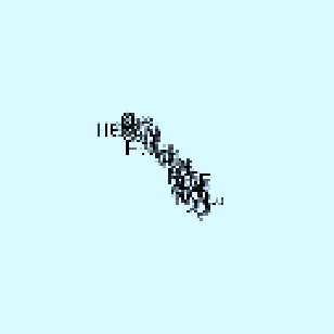 Cc1cccc(-c2noc(-c3nc(-c4ccc(C(O)CN5CCC[C@H](OC(=O)O)C5)cc4)no3)c2C(F)(F)F)n1